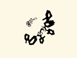 Cc1ccccc1-c1cccc([C@H]2N=C(CC3=N[C@H](c4cccc(-c5ccccc5C)c4)C(c4ccccc4C)O3)OC2c2ccccc2C)c1.[Br-].[Br-].[Pd+2]